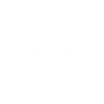 CCN1C(=O)C(C#N)=C(C)/C(=C/c2cc3c(cc(-c4ccccc4)n3C)o2)C1=O